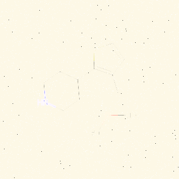 CC(C)(C)OC=O.Cc1ccsc1C1CCNCC1